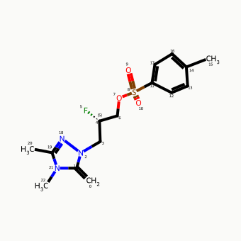 C=C1N(C[C@H](F)COS(=O)(=O)c2ccc(C)cc2)N=C(C)N1C